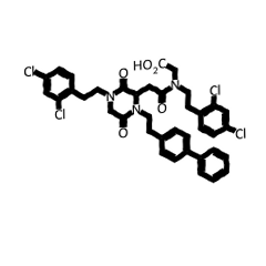 O=C(O)CN(CCc1ccc(Cl)cc1Cl)C(=O)CC1C(=O)N(CCc2ccc(Cl)cc2Cl)CC(=O)N1CCc1ccc(-c2ccccc2)cc1